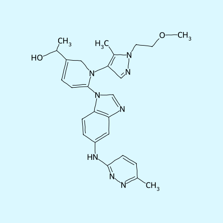 COCCn1ncc(N2CC(C(C)O)=CC=C2n2cnc3cc(Nc4ccc(C)nn4)ccc32)c1C